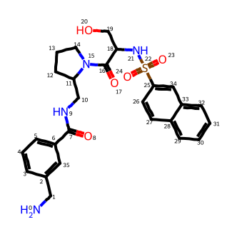 NCc1cccc(C(=O)NCC2CCCN2C(=O)C(CO)NS(=O)(=O)c2ccc3ccccc3c2)c1